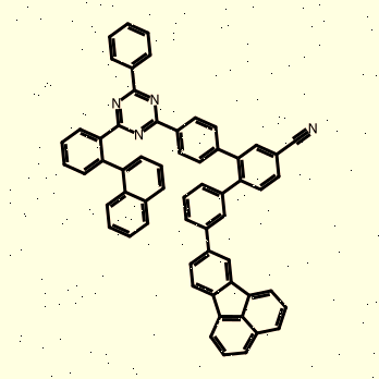 N#Cc1ccc(-c2cccc(-c3ccc4c(c3)-c3cccc5cccc-4c35)c2)c(-c2ccc(-c3nc(-c4ccccc4)nc(-c4ccccc4-c4cccc5ccccc45)n3)cc2)c1